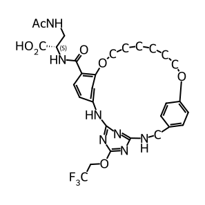 CC(=O)NC[C@H](NC(=O)c1ccc2cc1OCCCCCCOc1ccc(cc1)CNc1nc(nc(OCC(F)(F)F)n1)N2)C(=O)O